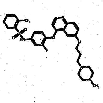 CN1CCN(CCCOc2ccc3nccc(Oc4ccc(NS(=O)(=O)C5=C(C(F)(F)F)C=CCC5)cc4F)c3c2)CC1